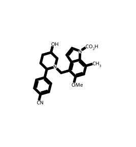 COc1cc(C)c2c(ccn2C(=O)O)c1CN1CC(O)CCC1c1ccc(C#N)cc1